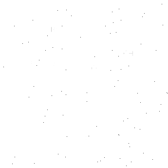 CCOc1cc(Cl)ccc1C(=O)CBr